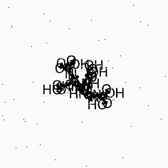 Cc1cc(Nc2nc(NCCCCCC(=O)O)nc(Nc3cc(C)c(N=Nc4cc(C(=O)O)cc(C(=O)O)c4)cc3OCCCS(=O)(=O)O)n2)c(OCCCSOOO)cc1N=Nc1cc(C(=O)O)cc(C(=O)O)c1